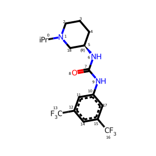 CC(C)N1CCC[C@@H](NC(=O)Nc2cc(C(F)(F)F)cc(C(F)(F)F)c2)C1